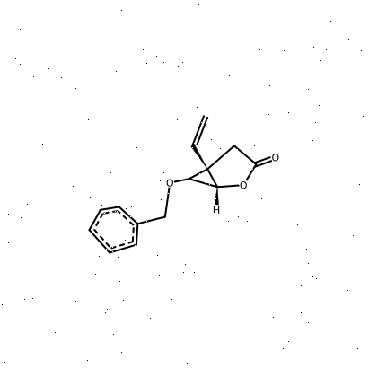 C=C[C@@]12CC(=O)O[C@@H]1C2OCc1ccccc1